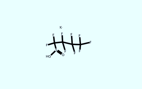 O=S(O)C(F)(F)C(F)(F)C(F)(F)C(F)(F)F.[K]